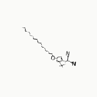 CCCCCCCCCCCCCCCCOc1ccc2c(c1)C(C)(C)CC2=C(C#N)C#N